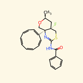 C[C@H]1C[C@@]2(F)CSC(NC(=O)c3ccccc3)=N[C@@]2(c2ccccccccc2)CO1